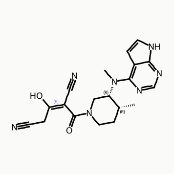 C[C@@H]1CCN(C(=O)/C(C#N)=C(/O)CC#N)C[C@@H]1N(C)c1ncnc2[nH]ccc12